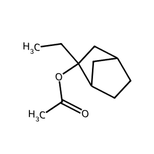 CCC1(OC(C)=O)CC2CCC1C2